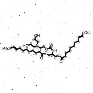 CCCCCCCCC=CCCCCCCCC(=O)OCC(COC(=O)CCCCCCCC=CCCCCCCCC)NC(=O)OCCN(CCO)CCO